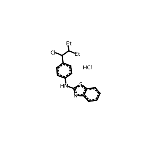 CCC(CC)C(Cl)c1ccc(Nc2nc3ccccc3s2)cc1.Cl